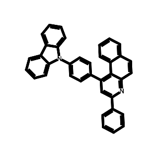 c1ccc(-c2cc(-c3ccc(-n4c5ccccc5c5ccccc54)cc3)c3c(ccc4ccccc43)n2)cc1